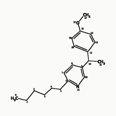 CCCCCCc1ccc(C(C)c2ccc(OC)cc2)cn1